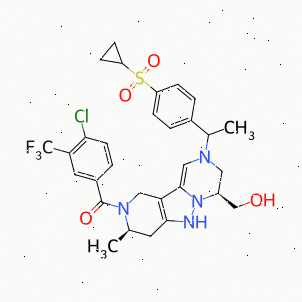 CC(c1ccc(S(=O)(=O)C2CC2)cc1)N1C=C2C3=C(C[C@@H](C)N(C(=O)c4ccc(Cl)c(C(F)(F)F)c4)C3)NN2[C@H](CO)C1